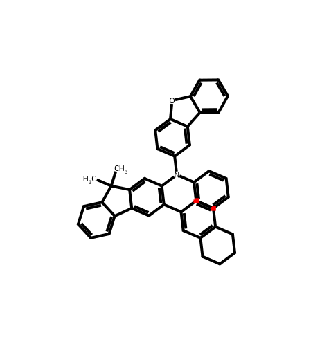 CC1(C)c2ccccc2-c2cc(-c3ccc4c(c3)CCCC4)c(N(c3ccccc3)c3ccc4oc5ccccc5c4c3)cc21